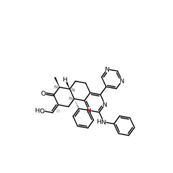 C[C@@H]1C(=O)/C(=C\O)C[C@]2(c3ccccc3)c3nc(Nc4ccccc4)nc(-c4cncnc4)c3CC[C@@H]12